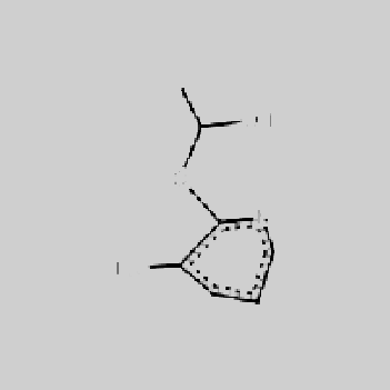 CC(O)Oc1ncccc1C(F)(F)F